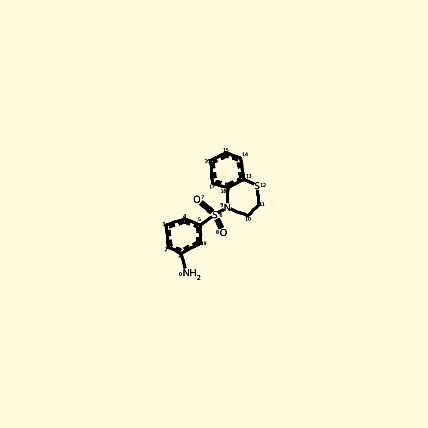 Nc1cccc(S(=O)(=O)N2CCSc3ccccc32)c1